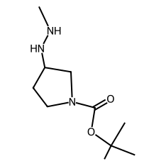 CNNC1CCN(C(=O)OC(C)(C)C)C1